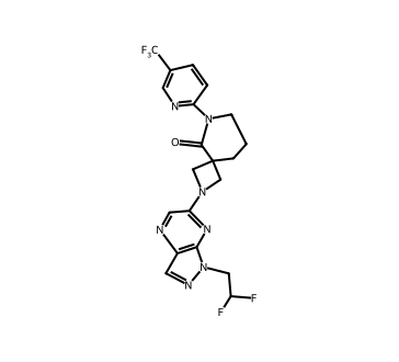 O=C1N(c2ccc(C(F)(F)F)cn2)CCCC12CN(c1cnc3cnn(CC(F)F)c3n1)C2